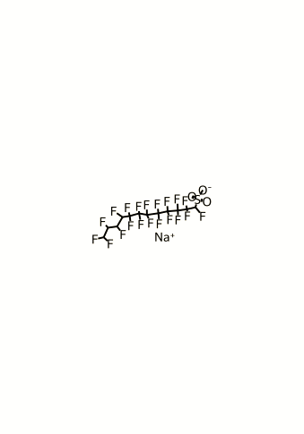 O=S(=O)([O-])C(F)C(F)(F)C(F)(F)C(F)(F)C(F)(F)C(F)(F)C(F)(F)C(F)(F)C(F)C(F)C(F)C(F)F.[Na+]